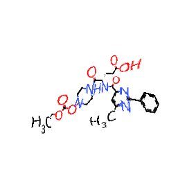 CCOC(=O)ON1CCN(C(=O)[C@H](CCC(=O)O)NC(=O)c2cc(C)nc(-c3ccccc3)n2)CC1